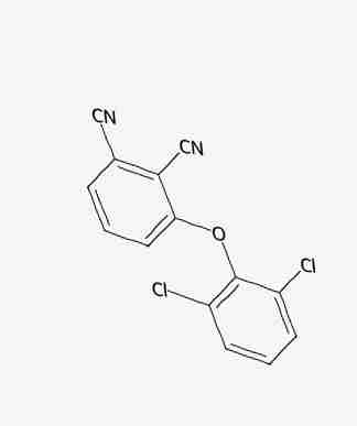 N#Cc1cccc(Oc2c(Cl)cccc2Cl)c1C#N